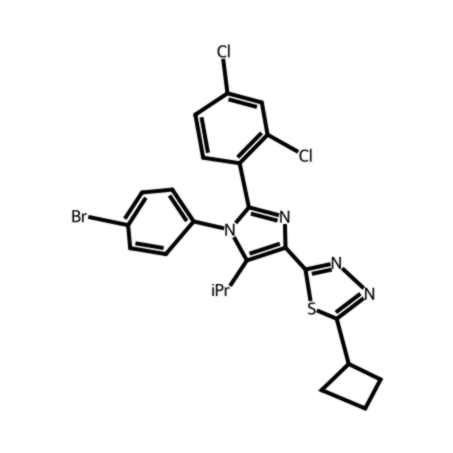 CC(C)c1c(-c2nnc(C3CCC3)s2)nc(-c2ccc(Cl)cc2Cl)n1-c1ccc(Br)cc1